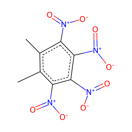 Cc1c(C)c([N+](=O)[O-])c([N+](=O)[O-])c([N+](=O)[O-])c1[N+](=O)[O-]